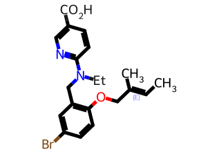 C/C=C(\C)COc1ccc(Br)cc1CN(CC)c1ccc(C(=O)O)cn1